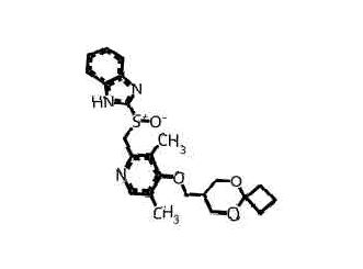 Cc1cnc(C[S+]([O-])c2nc3ccccc3[nH]2)c(C)c1OCC1COC2(CCC2)OC1